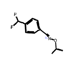 CC(C)O/N=[C]/c1ccc(C(F)F)cc1